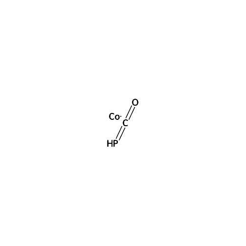 O=C=P.[Co]